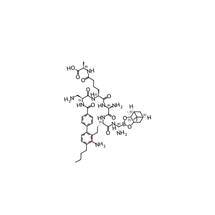 CCCCc1ccc(-c2ccc(C(=O)N[C@@H](CN)C(=O)N[C@@H](CCCC(=O)N[C@H](C)C(=O)O)C(=O)N[C@@H](N)C(=O)N[C@@H](CCCCN)C(=O)N[C@@H](N)B3OC4C[C@@H]5C[C@@H](C5(C)C)[C@]4(C)O3)cc2)cc1